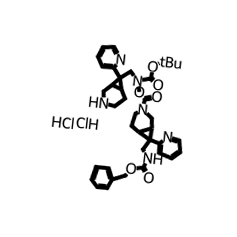 CC(C)(C)OC(=O)N(CC1(c2ccccn2)C2CCNCC21)OC(=O)N1CCC2C(C1)C2(CNC(=O)OCc1ccccc1)c1ccccn1.Cl.Cl